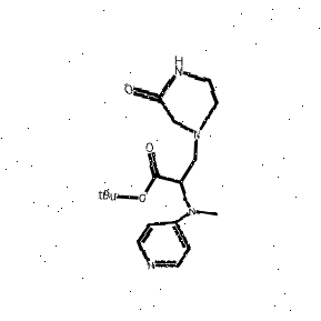 CN(c1ccncc1)C(CN1CCNC(=O)C1)C(=O)OC(C)(C)C